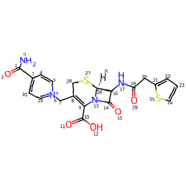 NC(=O)c1cc[n+](CC2=C(C(=O)O)N3C(=O)C(NC(=O)Cc4cccs4)[C@@H]3SC2)cc1